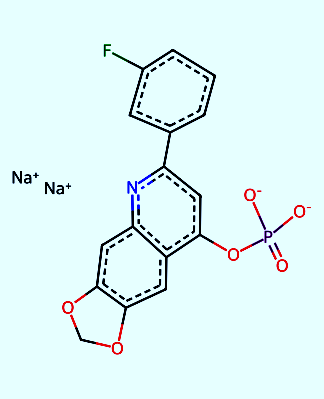 O=P([O-])([O-])Oc1cc(-c2cccc(F)c2)nc2cc3c(cc12)OCO3.[Na+].[Na+]